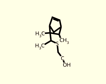 CC(SCCO)C1(C)C2C=CC(C2)C1C